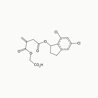 C=C(CC(=O)OC1CCc2cc(Cl)cc(Cl)c21)C(=O)OCC(=O)O